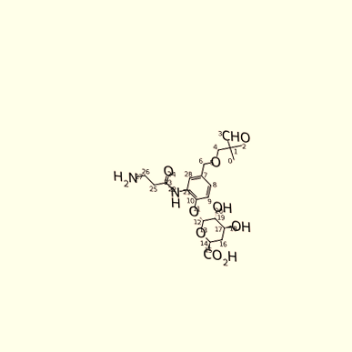 CC(C)(C=O)COCc1ccc(O[C@H]2O[C@H](C(=O)O)C[C@H](O)[C@H]2O)c(NC(=O)CCN)c1